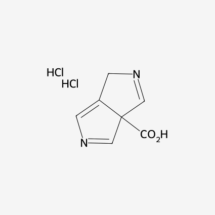 Cl.Cl.O=C(O)C12C=NC=C1CN=C2